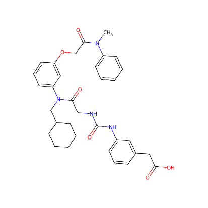 CN(C(=O)COc1cccc(N(CC2CCCCC2)C(=O)CNC(=O)Nc2cccc(CC(=O)O)c2)c1)c1ccccc1